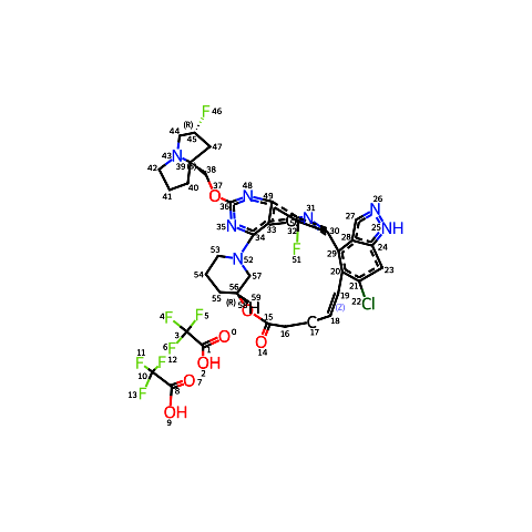 O=C(O)C(F)(F)F.O=C(O)C(F)(F)F.O=C1CC/C=C\c2c(Cl)cc3[nH]ncc3c2-c2ncc3c(nc(OC[C@@]45CCCN4C[C@H](F)C5)nc3c2F)N2CCC[C@H](C2)O1